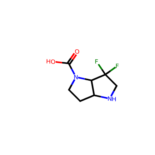 O=C(O)N1CCC2NCC(F)(F)C21